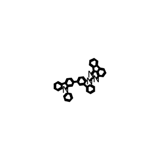 c1ccc(-n2c3ccccc3c3ccc(-c4ccc5c(c4)c4ccccc4n5-c4nc5c6c(cccc6n4)-c4ccccc4-5)cc32)cc1